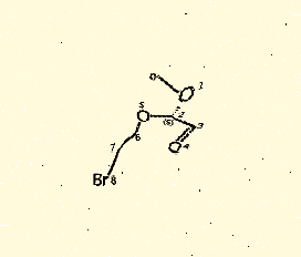 CO[C@H](C=O)OCCBr